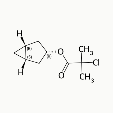 CC(C)(Cl)C(=O)O[C@@H]1C[C@@H]2C[C@@H]2C1